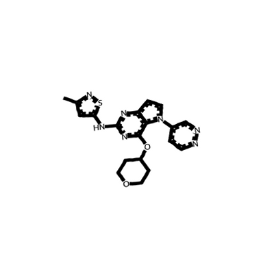 Cc1cc(Nc2nc(OC3CCOCC3)c3c(ccn3-c3ccnnc3)n2)sn1